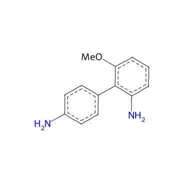 COc1cccc(N)c1-c1ccc(N)cc1